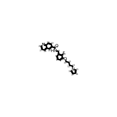 O=C(NCc1cccc(OCCCCn2cccc2)c1F)c1ccc2ncccc2c1